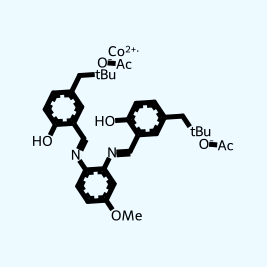 CC(=O)[O-].CC(=O)[O-].COc1ccc(N=Cc2cc(CC(C)(C)C)ccc2O)c(N=Cc2cc(CC(C)(C)C)ccc2O)c1.[Co+2]